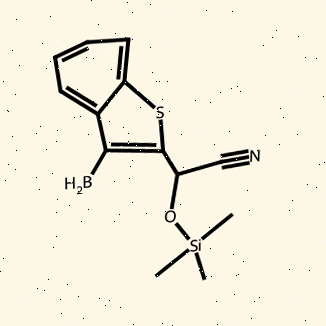 Bc1c(C(C#N)O[Si](C)(C)C)sc2ccccc12